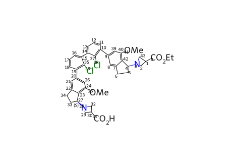 CCOC(=O)C1CN(C2CCc3cc(-c4cccc(-c5cccc(-c6cc7c(c(OC)c6)[C@@H](N6CC(C(=O)O)C6)CC7)c5Cl)c4Cl)cc(OC)c32)C1